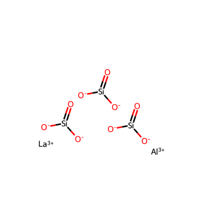 O=[Si]([O-])[O-].O=[Si]([O-])[O-].O=[Si]([O-])[O-].[Al+3].[La+3]